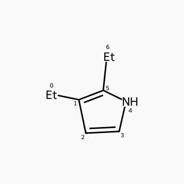 CCc1cc[nH]c1CC